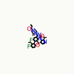 C=CC(=O)N1CCN(c2nc(=O)n(-c3c(C)ccnc3C(C)C)c3c4c(c(F)cc23)-c2c(ccc(F)c2CC)OC4)[C@@H](C)C1